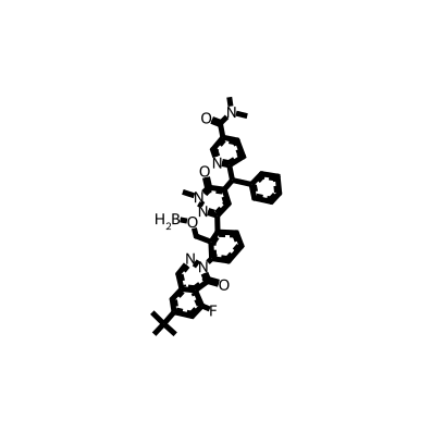 BOCc1c(-c2cc(C(c3ccccc3)c3ccc(C(=O)N(C)C)cn3)c(=O)n(C)n2)cccc1-n1ncc2cc(C(C)(C)C)cc(F)c2c1=O